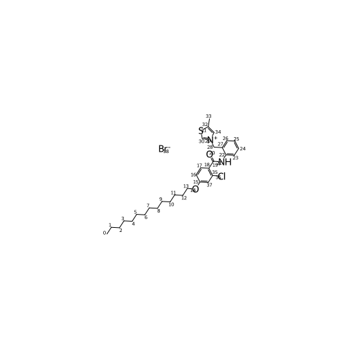 CCCCCCCCCCCCCCOc1ccc(C(=O)Nc2ccccc2C[n+]2csc(C)c2)c(Cl)c1.[Br-]